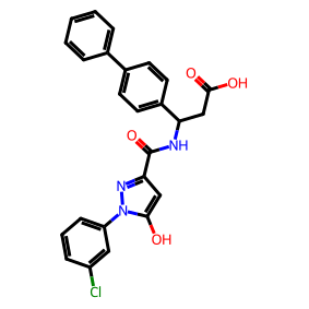 O=C(O)CC(NC(=O)c1cc(O)n(-c2cccc(Cl)c2)n1)c1ccc(-c2ccccc2)cc1